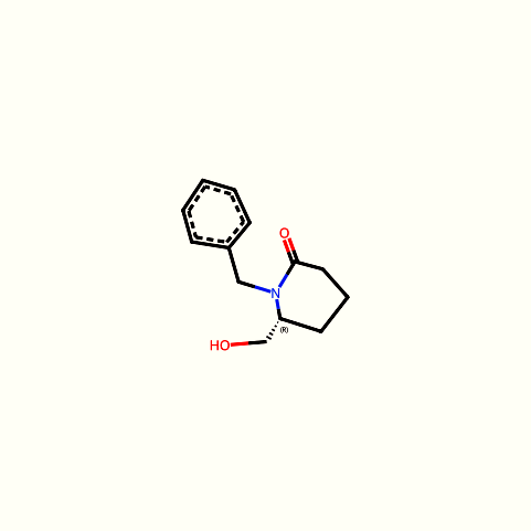 O=C1CCC[C@H](CO)N1Cc1ccccc1